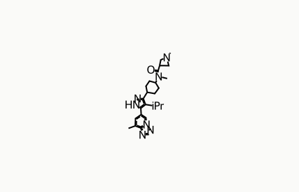 Cc1cc(-c2[nH]nc(C3CCC(N(C)C(=O)C4CN(C)C4)CC3)c2C(C)C)cn2ncnc12